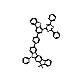 CC1(C)c2ccccc2-c2cc3c4cc(-c5ccc(-c6cc(-c7nc(-c8ccccc8)nc(-c8ccccc8)n7)c7sc8ccccc8c7c6)cc5)ccc4n(-c4ccccc4)c3cc21